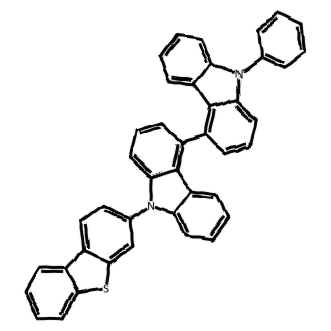 c1ccc(-n2c3ccccc3c3c(-c4cccc5c4c4ccccc4n5-c4ccc5c(c4)sc4ccccc45)cccc32)cc1